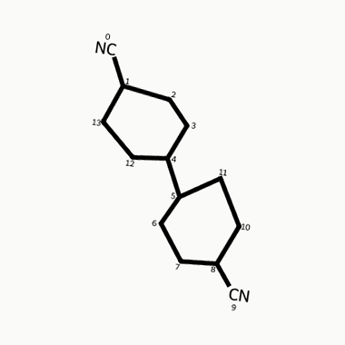 N#CC1CCC(C2CCC(C#N)CC2)CC1